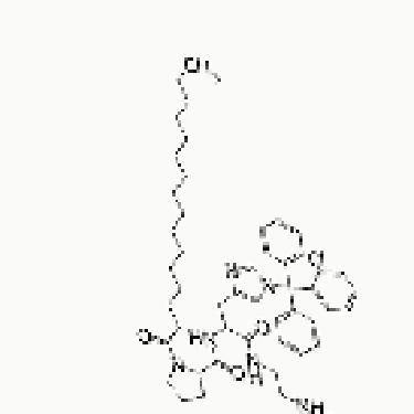 CCCCCCCCCCCCCCCC(=O)N1CCCC1C(=O)NC(Cc1cn(C(c2ccccc2)(c2ccccc2)c2ccccc2Cl)cn1)C(=O)NCCN